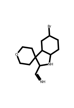 N=CC1NC2CCC(Br)CC2C12CCOCC2